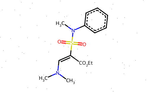 CCOC(=O)C(=CN(C)C)S(=O)(=O)N(C)c1ccccc1